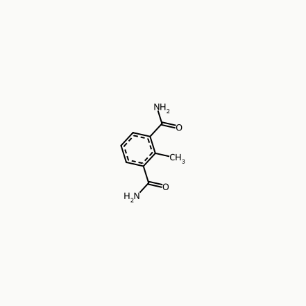 Cc1c(C(N)=O)cccc1C(N)=O